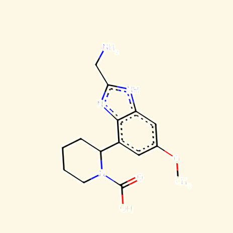 COc1cc(C2CCCCN2C(=O)O)c2nc(CN)[nH]c2c1